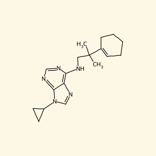 CC(C)(CNc1ncnc2c1ncn2C1CC1)C1=CCCCC1